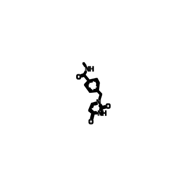 CNC(=O)c1ccc(Cn2ccc(=O)[nH]c2=O)cc1